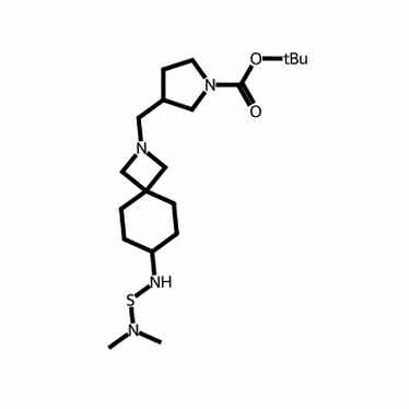 CN(C)SNC1CCC2(CC1)CN(CC1CCN(C(=O)OC(C)(C)C)C1)C2